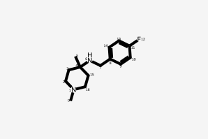 CN1CCC(C)(NCc2ccc(F)cc2)CC1